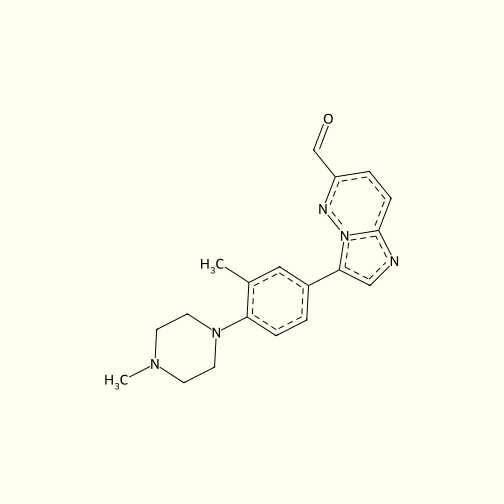 Cc1cc(-c2cnc3ccc(C=O)nn23)ccc1N1CCN(C)CC1